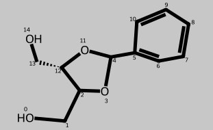 OCC1OC(c2ccccc2)O[C@H]1CO